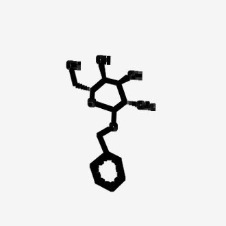 CC(=O)O[C@@H]1C(OCc2ccccc2)O[C@H](CO)[C@@H](O)[C@H]1O